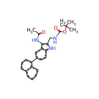 CC(=O)Nc1c(CNC(=O)OC(C)(C)C)[nH]c2ccc(-c3cccc4ccccc34)cc12